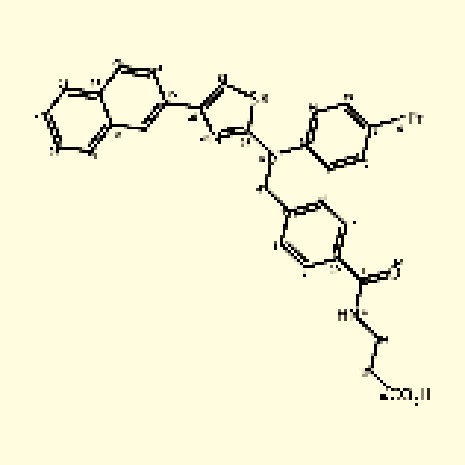 CCCc1ccc(N(Cc2ccc(C(=O)NCCC(=O)O)cc2)c2nc(-c3ccc4ccccc4c3)cs2)cc1